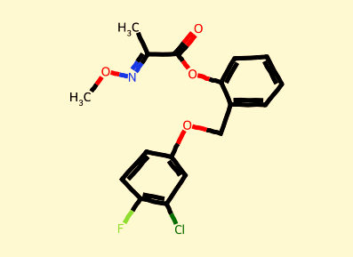 CON=C(C)C(=O)Oc1ccccc1COc1ccc(F)c(Cl)c1